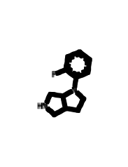 Fc1ccccc1N1CCC2CNCC21